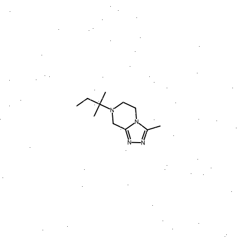 CCC(C)(C)N1CCn2c(C)nnc2C1